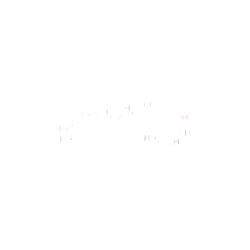 C/C(=C\CCC(C)(O)CCCC(C)C(=O)O)CCCC(C)CCC1CC(O)C(C)C(C)C1C